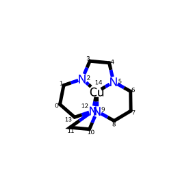 C1C[N]2CC[N]3CCC[N]4CC[N](C1)[Cu]234